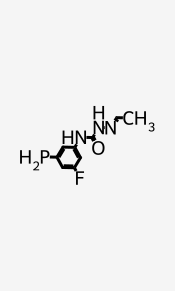 C/C=N/NC(=O)Nc1cc(F)cc(P)c1